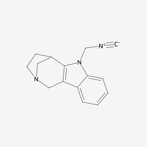 [C-]#[N+]Cn1c2c(c3ccccc31)CN1CCC2C1